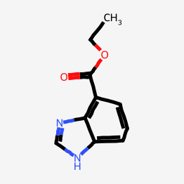 CCOC(=O)c1cccc2[nH]cnc12